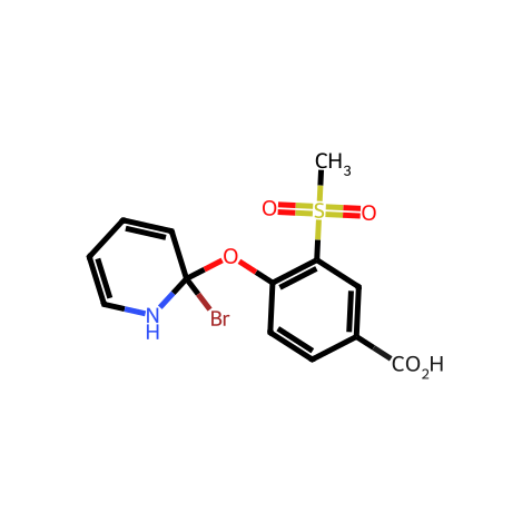 CS(=O)(=O)c1cc(C(=O)O)ccc1OC1(Br)C=CC=CN1